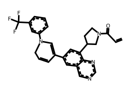 C=CC(=O)N1CCC(c2cc(C3=CN(c4cccc(C(F)(F)F)c4)CC=C3)cc3cncnc23)C1